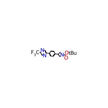 CC(C)(C)OC(=O)N1CC(c2ccc(-c3cnc(C(F)(F)F)cn3)cc2)C1